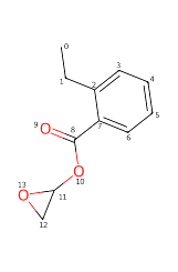 CCc1ccccc1C(=O)OC1CO1